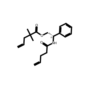 C=CCCC(=O)N[C@H](COC(=O)C(C)(C)CC=C)c1ccccc1